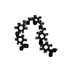 O=[N+]([O-])c1ccc(Oc2ccc(C=NCc3ccc(CN=Cc4ccc(Oc5ccc([N+](=O)[O-])cc5)cc4)o3)cc2)cc1